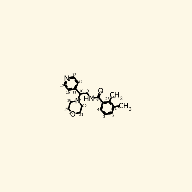 Cc1cccc(C(=O)NCC(c2ccncc2)N2CCOCC2)c1C